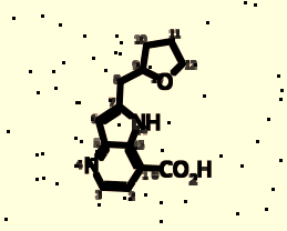 O=C(O)c1ccnc2cc(CC3CCCO3)[nH]c12